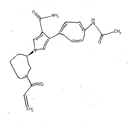 C=CC(=O)N1CCC[C@@H](n2cc(C(N)=O)c(-c3ccc(NC(C)=O)cc3)n2)C1